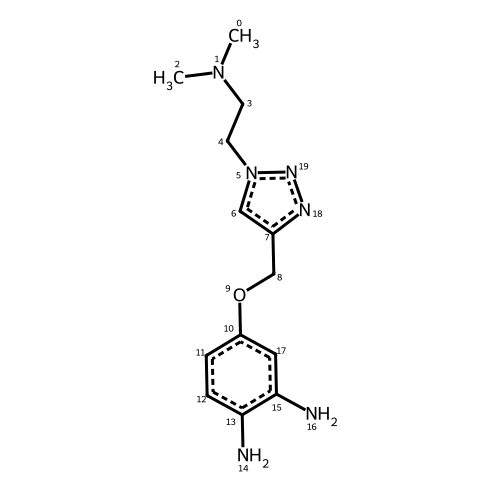 CN(C)CCn1cc(COc2ccc(N)c(N)c2)nn1